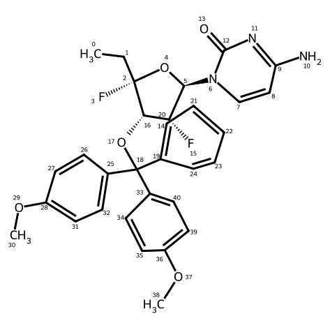 CC[C@@]1(F)O[C@@H](n2ccc(N)nc2=O)[C@H](F)[C@@H]1OC(c1ccccc1)(c1ccc(OC)cc1)c1ccc(OC)cc1